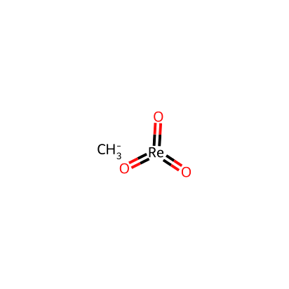 [CH3-].[O]=[Re](=[O])=[O]